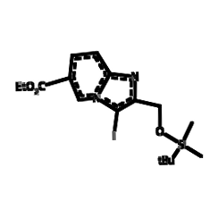 CCOC(=O)c1ccc2nc(CO[Si](C)(C)C(C)(C)C)c(I)n2c1